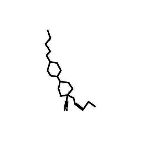 CC/C=C\CC1(C#N)CCC(C2CCC(CCCCC)CC2)CC1